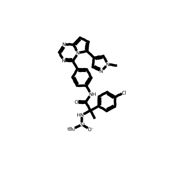 Cn1cc(-c2ccc3ncnc(-c4ccc(NC(=O)C(C)(N[S+]([O-])C(C)(C)C)c5ccc(Cl)cc5)cc4)n23)cn1